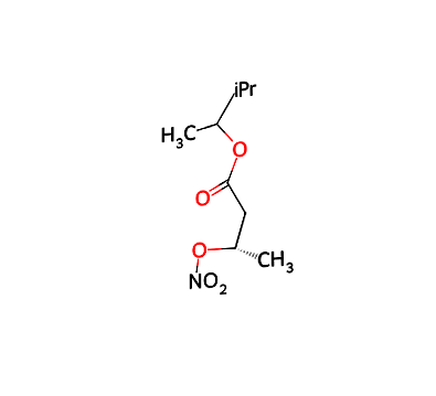 CC(C)C(C)OC(=O)C[C@H](C)O[N+](=O)[O-]